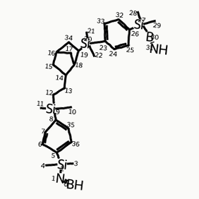 B=N[Si](C)(C)c1ccc([Si](C)(C)CCC2CC3CC2C([Si](C)(C)c2ccc([Si](C)(C)B=N)cc2)C3)cc1